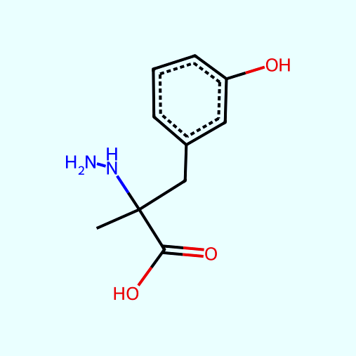 CC(Cc1cccc(O)c1)(NN)C(=O)O